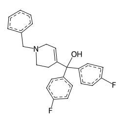 OC(C1=CCN(Cc2ccccc2)CC1)(c1ccc(F)cc1)c1ccc(F)cc1